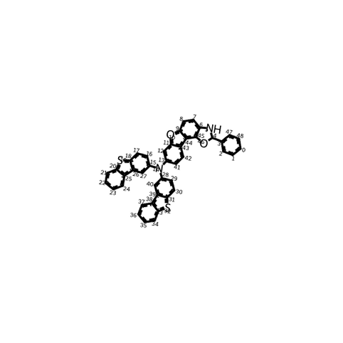 c1ccc(C2Nc3ccc4oc5cc(N(c6ccc7sc8ccccc8c7c6)c6ccc7sc8ccccc8c7c6)ccc5c4c3O2)cc1